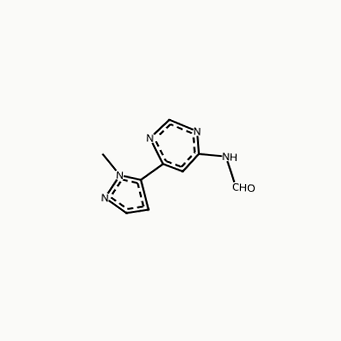 Cn1nccc1-c1cc(NC=O)ncn1